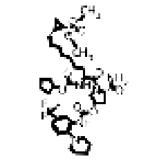 CCOP(=O)(OCC)[C@H]1C[C@H]1/C=C\CCCCC[C@H](NC(=O)OC1CCCC1)C(=O)N1C[C@H](OC(=O)Nc2cc(C(F)(F)F)ccc2N2CCCCC2)C[C@H]1C(N)=O